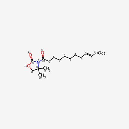 CCCCCCCCC=CCCCCCCCC(=O)N1C(=O)OCC1(C)C